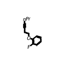 CCCC#CCCOc1ccc[c]c1F